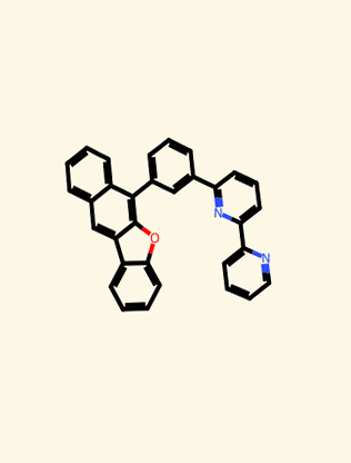 c1ccc(-c2cccc(-c3cccc(-c4c5ccccc5cc5c4oc4ccccc45)c3)n2)nc1